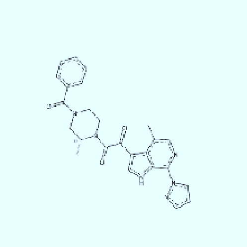 Cc1cnc(-n2cccn2)c2[nH]cc(C(=O)C(=O)N3CCN(C(=O)c4ccccc4)C[C@H]3C)c12